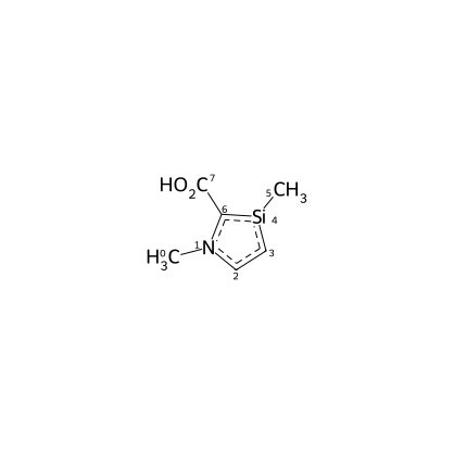 Cn1cc[si](C)c1C(=O)O